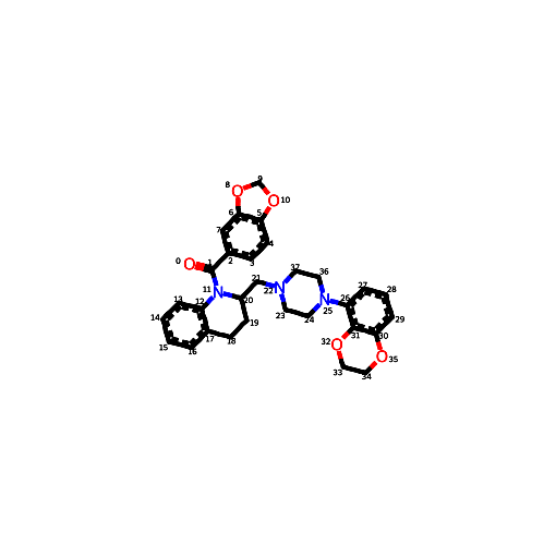 O=C(c1ccc2c(c1)OCO2)N1c2ccccc2CCC1CN1CCN(c2cccc3c2OCCO3)CC1